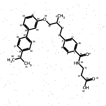 CC(CCc1ccc(C(=O)NCCC(=O)O)cc1)COc1cccc(-c2ccc(C(C)C)cc2)c1